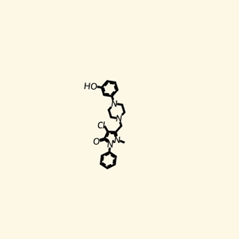 Cn1c(CN2CCN(c3cccc(O)c3)CC2)c(Cl)c(=O)n1-c1ccccc1